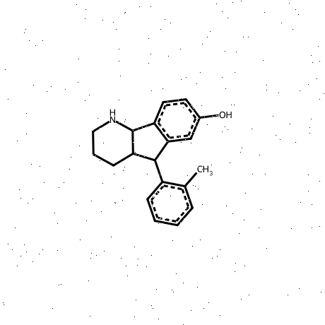 Cc1ccccc1C1c2cc(O)ccc2C2NCCCC21